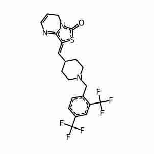 O=c1sc(=CC2CCN(Cc3ccc(C(F)(F)F)cc3C(F)(F)F)CC2)c2n1CC=CN=2